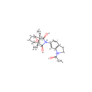 CC(=O)N1CCc2ccc(N3C(=O)[C@@H]4[C@H](C3=O)[C@H]3CC[C@@H]4O3)cc21